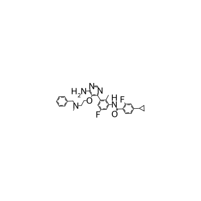 Cc1c(NC(=O)c2ccc(C3CC3)cc2F)cc(F)cc1-c1ncnc(N)c1OCCN(C)Cc1ccccc1